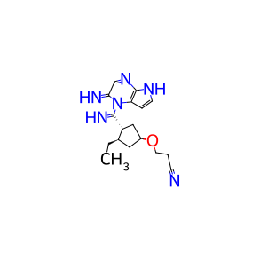 CC[C@@H]1C[C@H](OCCC#N)C[C@H]1C(=N)n1c(=N)cnc2[nH]ccc21